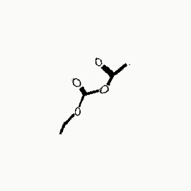 [CH2]C(=O)OC(=O)OCC